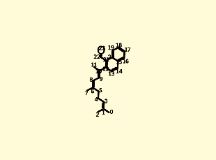 CC(C)=CCCC(C)=CC=C(C)c1ccc2ccccc2c1C=O